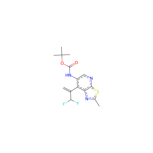 C=C(c1c(NC(=O)OC(C)(C)C)cnc2sc(C)nc12)C(F)F